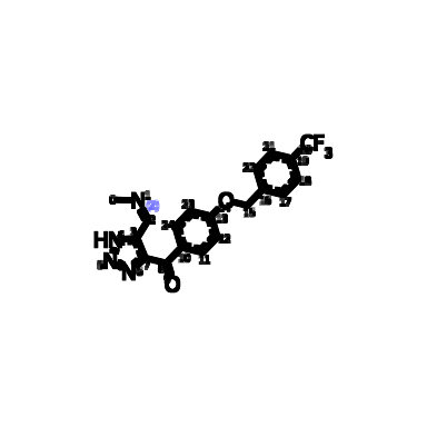 C/N=C\c1[nH]nnc1C(=O)c1ccc(OCc2ccc(C(F)(F)F)cc2)cc1